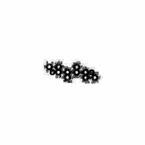 c1ccc2c(c1)Oc1ccc(-c3ccc(-c4ccc(-c5ccc6c7c(cccc57)-c5ccccc5O6)c5ccccc45)c4ccccc34)c3cccc-2c13